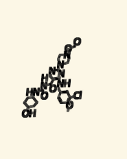 COc1ccc(CNc2nc(N3CCN(OC=O)CC3)ncc2C(=O)NC(=O)N[C@H]2CC[C@H](O)CC2)cc1Cl